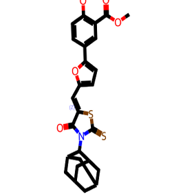 COC(=O)c1cc(-c2ccc(/C=C3\SC(=S)N(C4C5CC6CC(C5)CC4C6)C3=O)o2)ccc1OC